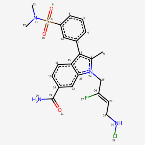 Cc1c(-c2cccc(S(=O)(=O)N(C)C)c2)c2ccc(C(N)=O)cc2n1C/C(F)=C/CNCl